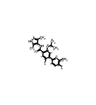 Cc1n[nH]c(C(F)(F)F)c1NC(=O)c1cc(F)c(-c2ccc(F)c(N)n2)cc1OC(C)C(F)(F)F